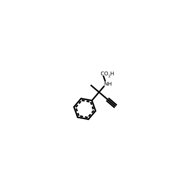 C#CC(C)(NC(=O)O)c1ccccc1